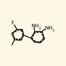 Cc1cc(F)cc(-c2cccc(N)c2N)c1